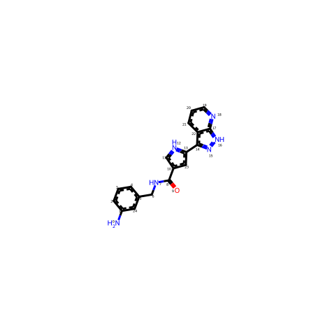 Nc1cccc(CNC(=O)c2c[nH]c(-c3n[nH]c4ncccc34)c2)c1